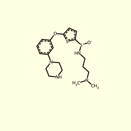 CN(C)CCCN[S+]([O-])c1ccc(Oc2cccc(N3CCNCC3)c2)s1